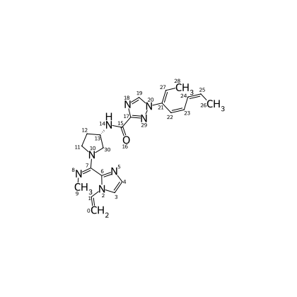 C=Cn1ccnc1/C(=N\C)N1CC[C@H](NC(=O)c2ncn(C(/C=C\C=C/C)=C/C)n2)C1